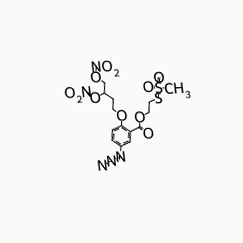 CS(=O)(=O)SCCOC(=O)c1cc(N=[N+]=[N-])ccc1OCCC(CO[N+](=O)[O-])O[N+](=O)[O-]